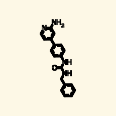 Nc1cc(-c2ccc(NC(=O)NCc3ccccc3)cc2)ccn1